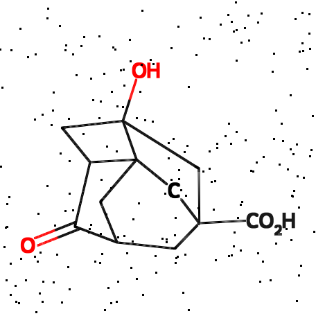 O=C1C2CC3(C(=O)O)CC4(O)CC1C4(C2)C3